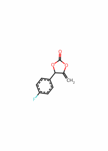 C=C1OC(=O)OC1c1ccc(F)cc1